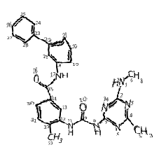 CNc1nc(C)nc(NC(=O)Nc2cc(C(=O)Nc3cccc(-c4ccccc4)c3)ccc2C)n1